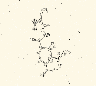 Cc1nnc(NC(=O)c2ccc(C(F)F)c([S@@+](C)[O-])c2Cl)o1